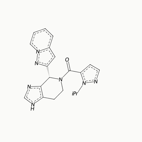 CC(C)n1nccc1C(=O)N1CCc2[nH]cnc2[C@@H]1c1cc2ccccn2n1